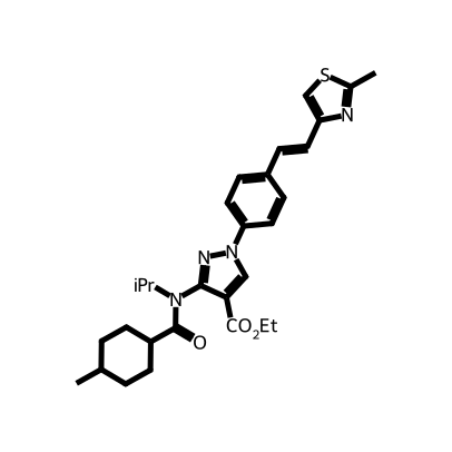 CCOC(=O)c1cn(-c2ccc(C=Cc3csc(C)n3)cc2)nc1N(C(=O)C1CCC(C)CC1)C(C)C